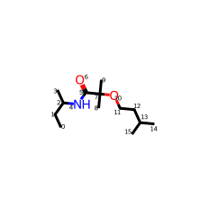 CCC(C)NC(=O)C(C)(C)OCCC(C)C